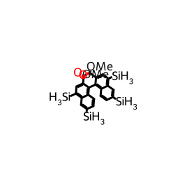 COC(=O)c1cc([SiH3])c2cc([SiH3])ccc2c1-c1c(C(=O)OC)cc([SiH3])c2cc([SiH3])ccc12